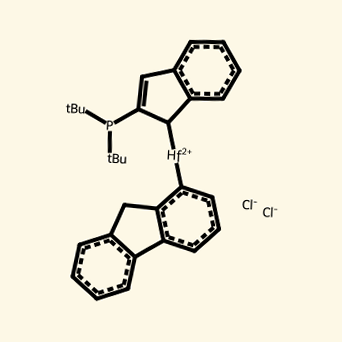 CC(C)(C)P(C1=Cc2ccccc2[CH]1[Hf+2][c]1cccc2c1Cc1ccccc1-2)C(C)(C)C.[Cl-].[Cl-]